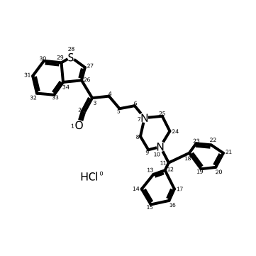 Cl.O=C=C(CCCN1CCN(C(c2ccccc2)c2ccccc2)CC1)c1csc2ccccc12